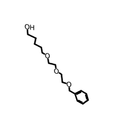 OCCCCCOCCOCCOCc1ccccc1